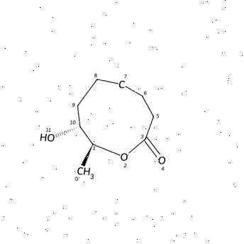 C[C@@H]1OC(=O)CCCCC[C@H]1O